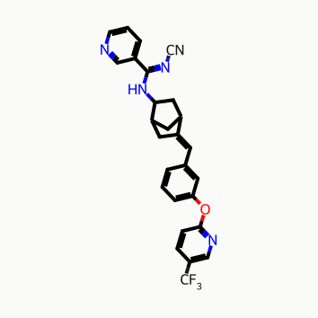 N#CN=C(NC1CC2CC1C/C2=C\c1cccc(Oc2ccc(C(F)(F)F)cn2)c1)c1cccnc1